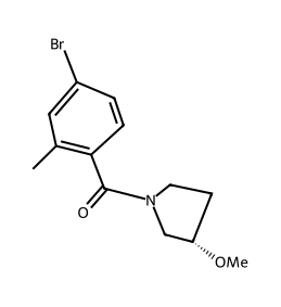 CO[C@H]1CCN(C(=O)c2ccc(Br)cc2C)C1